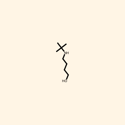 CC(C)(C)NCCCCO